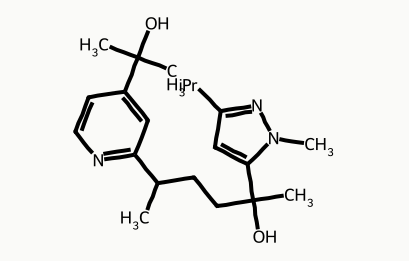 CC(C)c1cc(C(C)(O)CCC(C)c2cc(C(C)(C)O)ccn2)n(C)n1